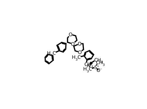 C1COCCO1.C1COCCO1.CC#N.C[S+](C)[O-].Cc1ccccc1.Cc1ccccc1C.c1ccccc1